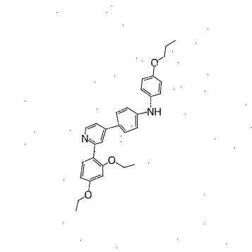 CCCOc1ccc(Nc2ccc(-c3ccnc(-c4ccc(OCC)cc4OCC)c3)cc2)cc1